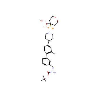 COC(=O)C1(S(=O)(=O)N2CCC(c3ccc(-c4cccc(CN(C)C(=O)OC(C)(C)C)c4)c(C)c3)CC2)CCOCC1